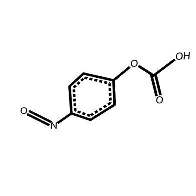 O=Nc1ccc(OC(=O)O)cc1